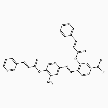 CCN(CC)c1ccc(N=Nc2ccc(OC(=O)C=Cc3ccccc3)c([N+](=O)[O-])c2)c(OC(=O)C=Cc2ccccc2)c1